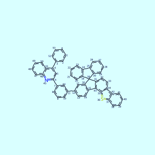 c1ccc(-c2cc(-c3cccc(-c4ccc5c(c4)C4(c6ccccc6-c6ccccc64)c4ccc6c(sc7ccccc76)c4-5)c3)nc3ccccc23)cc1